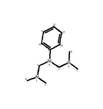 CN(C)[CH2][Ni]([CH2]N(C)C)[c]1ccccc1